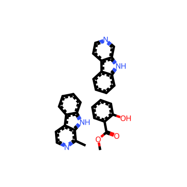 COC(=O)c1ccccc1O.Cc1nccc2c1[nH]c1ccccc12.c1ccc2c(c1)[nH]c1cnccc12